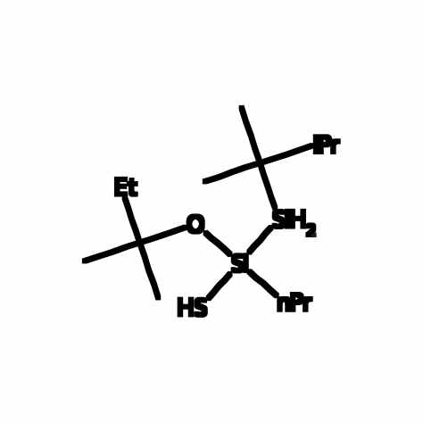 CCC[Si](S)(OC(C)(C)CC)[SiH2]C(C)(C)C(C)C